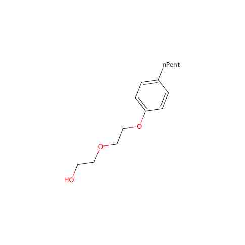 CCCCCc1ccc(OCCOCCO)cc1